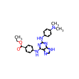 CCOC(=O)c1ccc(Nc2nc(Nc3ccc(N(C)C)cc3)nc3[nH]cnc23)cc1